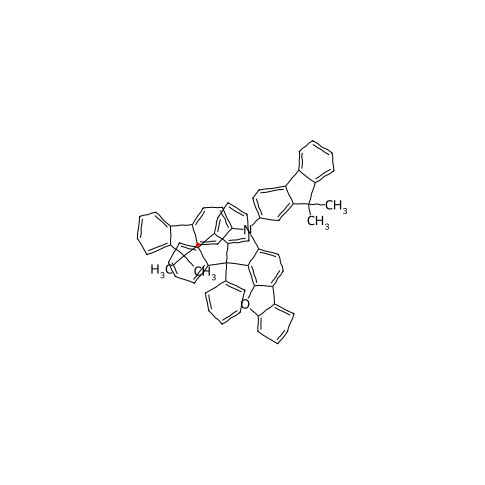 CC1(C)c2ccccc2-c2ccc(N(c3ccc4c(c3)C(C)(C)c3ccccc3-4)c3ccc4c(oc5ccccc54)c3C3(c4ccccc4)c4ccccc4-c4ccccc43)cc21